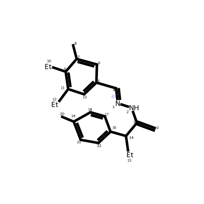 C=C(N/N=C/c1cc(C)c(CC)c(CC)c1)C(CC)c1ccc(C)cc1